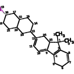 CC1(C)C2=C(CCC=C2)C2=CC=C(C3CCC4C[C@@H](I)CCC4C3)CC21